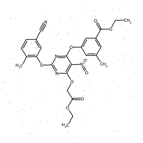 CCOC(=O)COc1nc(Oc2cc(C#N)ccc2C)nc(Oc2cc(C)cc(C(=O)OCC)c2)c1[N+](=O)[O-]